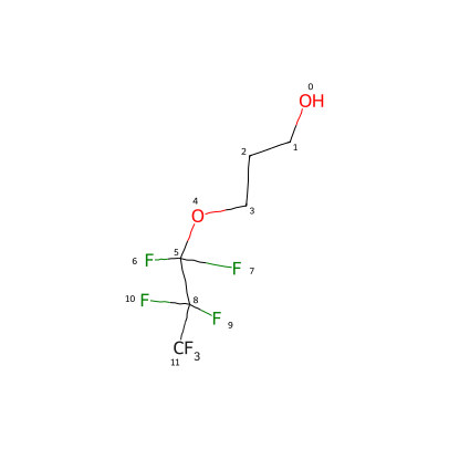 OCCCOC(F)(F)C(F)(F)C(F)(F)F